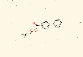 [CH2]COOC(=O)c1ccc(-c2ccccc2)cc1